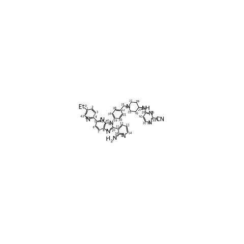 CCc1ccc(-c2ccc3nc(-c4cccnc4N)n(-c4ccc(CN5CCC(Nc6ccnc(C#N)n6)CC5)cc4)c3n2)nc1